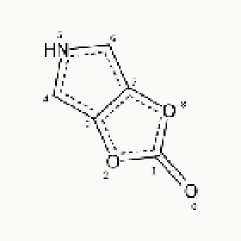 O=c1oc2c[nH]cc2o1